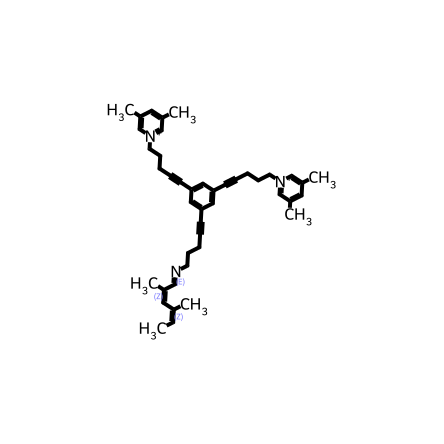 C\C=C(C)/C=C(C)\C=N\CCCC#Cc1cc(C#CCCC[n+]2cc(C)cc(C)c2)cc(C#CCCC[n+]2cc(C)cc(C)c2)c1